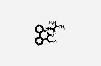 CC(C)CC1C(=O)N(NC(=O)[C@H](C)N)c2ccccc2-c2ccccc21